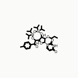 CCCO[C@@H]1[C@@H]2O[Si](C(C)C)(C(C)C)O[Si](C(C)C)(C(C)C)OC(C(=O)c3ccc(C)cc3)[C@H]2O[C@H]1n1ccc(=O)[nH]c1=O